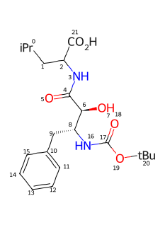 CC(C)CC(NC(=O)[C@@H](O)[C@@H](Cc1ccccc1)NC(=O)OC(C)(C)C)C(=O)O